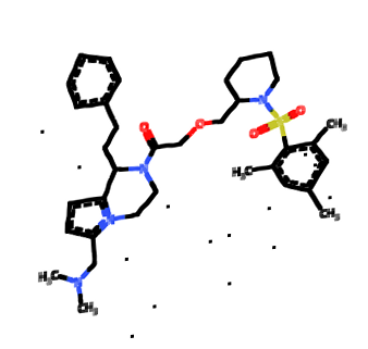 Cc1cc(C)c(S(=O)(=O)N2CCCCC2COCC(=O)N2CCn3c(CN(C)C)ccc3C2CCc2ccccc2)c(C)c1